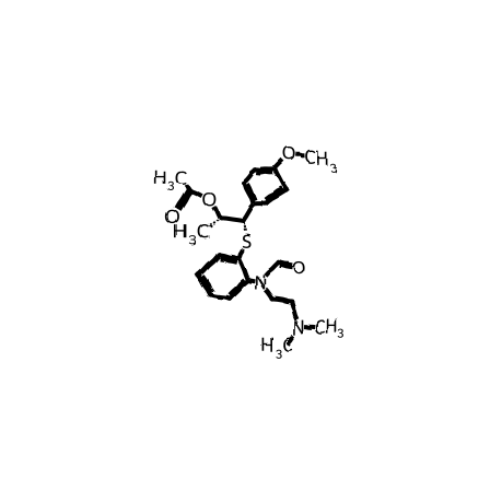 COc1ccc([C@H](Sc2ccccc2N(C=O)CCN(C)C)[C@H](C)OC(C)=O)cc1